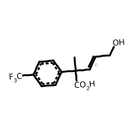 CC(/C=C/CO)(C(=O)O)c1ccc(C(F)(F)F)cc1